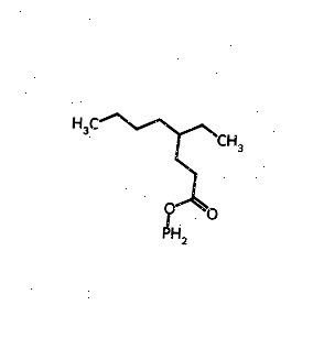 CCCCC(CC)CCC(=O)OP